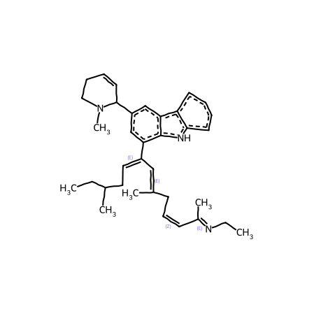 CC/N=C(C)/C=C\C/C(C)=C/C(=C\CC(C)CC)c1cc(C2C=CCCN2C)cc2c1[nH]c1ccccc12